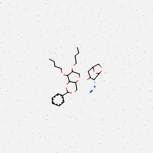 CCCCOC1C(OCCCC)[C@@H]2OC(c3ccccc3)OC[C@@H]2O[C@H]1O[C@@H]1C2CO[C@H](O2)[C@@H](N=[N+]=[N-])C1O